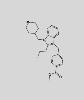 CCCc1c(Cc2ccc(C(=O)OC)cc2)c2ccccc2n1CC1CCNCC1